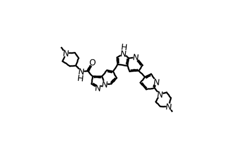 CN1CCC(NC(=O)c2cnn3ccc(-c4c[nH]c5ncc(-c6ccc(N7CCN(C)CC7)nc6)cc45)cc23)CC1